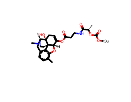 Cc1ccc2c3c1O[C@H]1C(OC(=O)CCNC(=O)[C@H](C)OC(=O)OC(C)(C)C)=CC[C@@]4(O)[C@@H](C2)N(C)CC[C@]314